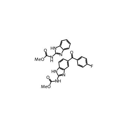 COC(=O)Nc1nc2cc(C(=O)c3ccc(F)cc3)ccc2[nH]1.COC(=O)Nc1nc2ccccc2[nH]1